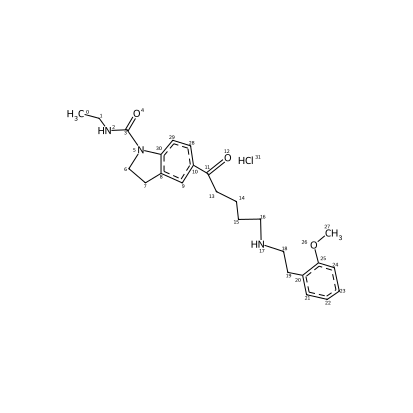 CCNC(=O)N1CCc2cc(C(=O)CCCCNCCc3ccccc3OC)ccc21.Cl